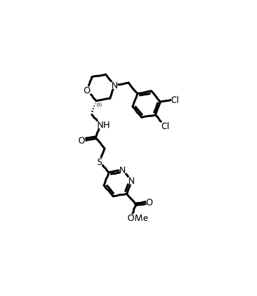 COC(=O)c1ccc(SCC(=O)NC[C@H]2CN(Cc3ccc(Cl)c(Cl)c3)CCO2)nn1